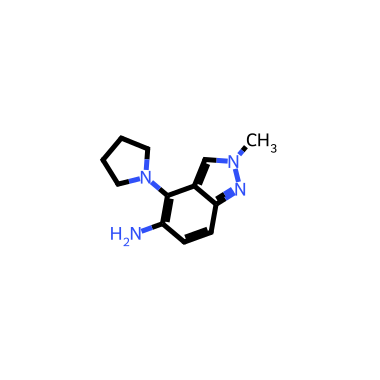 Cn1cc2c(N3CCCC3)c(N)ccc2n1